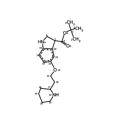 CC(C)(C)OC(=O)C1CNc2ccc(OCCC3CCCCN3)cc21